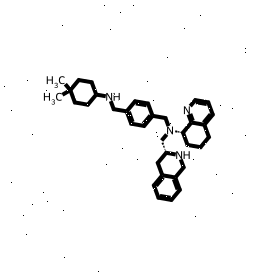 CC1(C)CCC(NCc2ccc(CN(C[C@H]3Cc4ccccc4CN3)[C@H]3CCCc4cccnc43)cc2)CC1